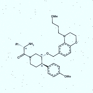 COCCCN1CCOc2ccc(CO[C@H]3CN(C(=O)[C@@H](N)C(C)C)CC[C@@H]3c3ccc(OC)cc3)cc21